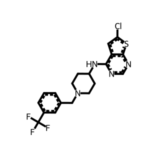 FC(F)(F)c1cccc(CN2CCC(Nc3ncnc4sc(Cl)cc34)CC2)c1